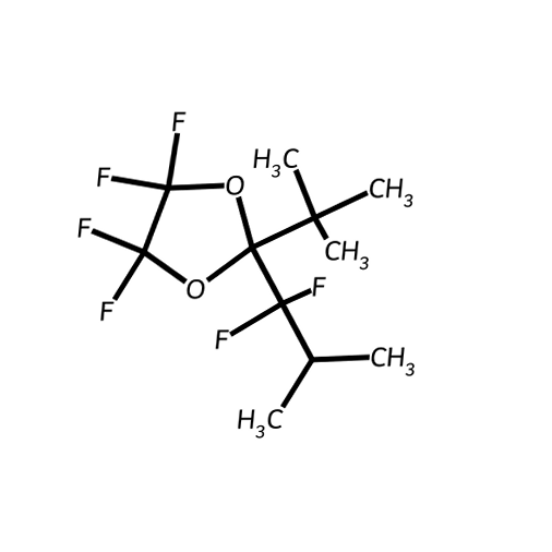 CC(C)C(F)(F)C1(C(C)(C)C)OC(F)(F)C(F)(F)O1